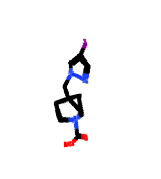 O=C(O)N1CCC2(Cn3cc(I)cn3)CC12